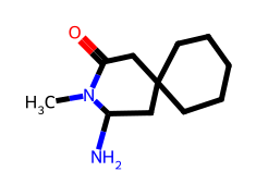 CN1C(=O)CC2(CCCCC2)CC1N